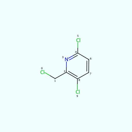 ClCc1nc(Cl)ccc1Cl